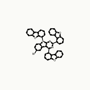 Brc1ccc2c(c1)c1c(-c3cccc4oc5ccccc5c34)nc(-c3cccc4oc5ccccc5c34)nc1n2-c1cccc2c1oc1ccccc12